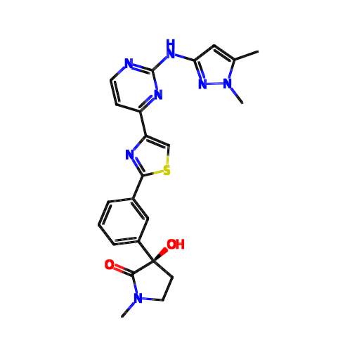 Cc1cc(Nc2nccc(-c3csc(-c4cccc([C@]5(O)CCN(C)C5=O)c4)n3)n2)nn1C